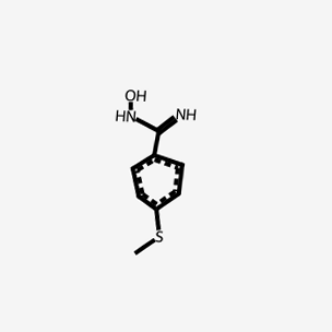 CSc1ccc(C(=N)NO)cc1